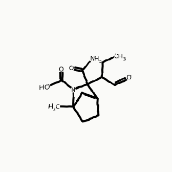 CCC(C=O)C1(C(N)=O)C2CCC(C)(C2)N1C(=O)O